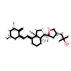 C=C1/C(=C\C=C2/CCC[C@@]3(C)[C@H]2CC[C@@H]3[C@]2(C)C[C@H](CC(C)(C)O)CO2)C[C@@H](C)C[C@@H]1C